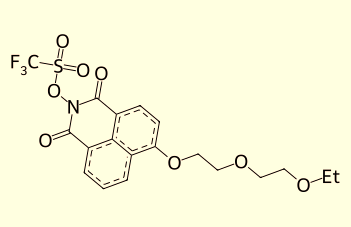 CCOCCOCCOc1ccc2c3c(cccc13)C(=O)N(OS(=O)(=O)C(F)(F)F)C2=O